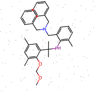 COCOc1c(C)cc(C)cc1C(C)(C)Pc1c(C)cccc1CN(Cc1ccccc1)Cc1ccccc1